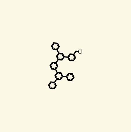 ClCc1cccc(-c2cc(-c3ccccc3)cc(-c3cccc(-c4cc(-c5ccccc5)cc(-c5ccccc5)c4)c3)c2)c1